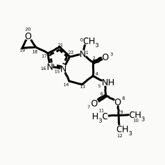 CN1C(=O)C(NC(=O)OC(C)(C)C)CCn2nc(C3CO3)cc21